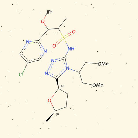 COCC(COC)n1c(NS(=O)(=O)C(C)C(OC(C)C)c2ncc(Cl)cn2)nnc1[C@H]1CC[C@@H](C)O1